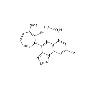 CCC1=C(NC)C=CC=CN1c1nc2ncc(Br)cc2n2cnnc12.O=S(=O)(O)O